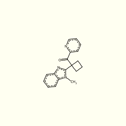 Cn1c(C2(C(=O)c3ccccn3)CCC2)nc2ccccc21